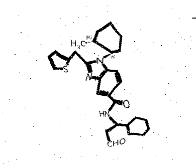 C[C@@H]1CCCC[C@H]1n1c(Cc2cccs2)nc2cc(C(=O)NC(CC=O)C3CCCCC3)ccc21